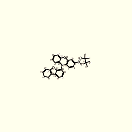 CC1(C)OB(c2ccc3c(c2)Sc2ccccc2N3c2cccc3c4c(oc23)C=CCC4)OC1(C)C